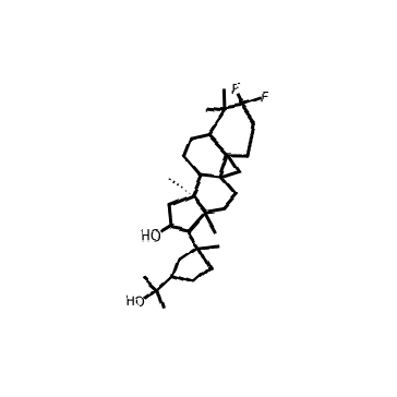 CC(C)(O)C1CCC(C)(C2C(O)C[C@@]3(C)C4CCC5C(C)(C)C(F)(F)CCC56CC46CCC23C)C1